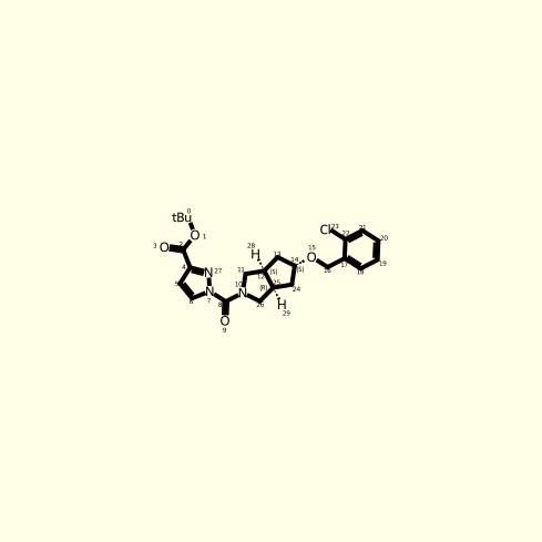 CC(C)(C)OC(=O)c1ccn(C(=O)N2C[C@H]3C[C@H](OCc4ccccc4Cl)C[C@H]3C2)n1